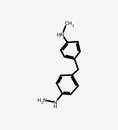 CNc1ccc(Cc2ccc(NN)cc2)cc1